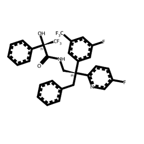 O=C(NC[C@@](Cc1ccccc1)(c1cc(F)cc(C(F)(F)F)c1)c1ccc(F)cn1)[C@@](O)(c1ccccc1)C(F)(F)F